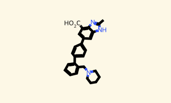 Cc1nc2c(C(=O)O)cc(-c3ccc(-c4ccccc4CN4CCCCC4)cc3)cc2[nH]1